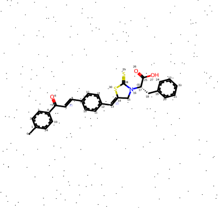 Cc1ccc(C(=O)/C=C/c2ccc(/C=C3/CN([C@@H](Cc4ccccc4)C(=O)O)C(=S)S3)cc2)cc1